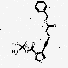 CC(C)(C)OC(=O)N1CNC=C1C#CCCC(=O)OCc1ccccc1